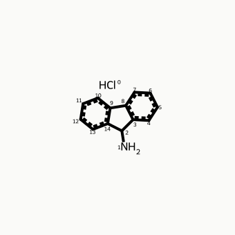 Cl.NC1c2ccccc2-c2ccccc21